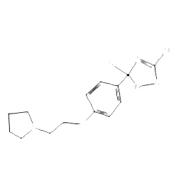 NC1=NC(N)(c2ccc(OCCN3CCCC3)cc2)NN1